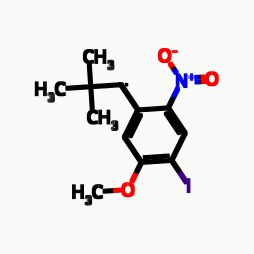 COc1cc([CH]C(C)(C)C)c([N+](=O)[O-])cc1I